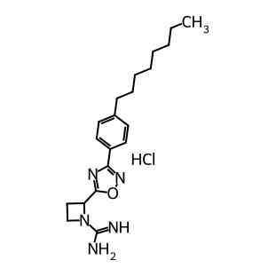 CCCCCCCCc1ccc(-c2noc(C3CCN3C(=N)N)n2)cc1.Cl